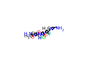 CC(Cc1ccc(-n2ccc(NC(=O)N3CCN(C(=O)C(C)(C)N)CC3)nc2=O)cc1C(F)(F)F)N1CC2C(CN)C2C1.Cl